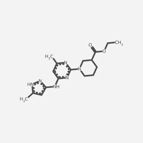 CCOC(=O)C1CCCN(c2nc(C)cc(Nc3cc(C)[nH]n3)n2)C1